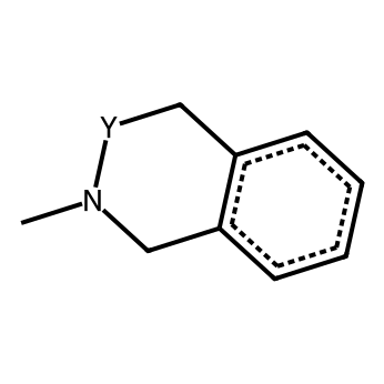 C[N]1Cc2ccccc2[CH2][Y]1